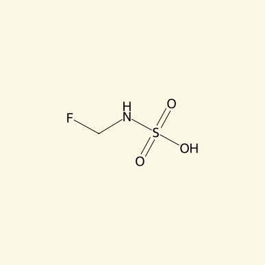 O=S(=O)(O)NCF